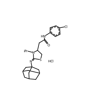 CC(C)N1C(=NC23CC4CC(CC(C4)C2)C3)SCC1CC(=O)Nc1ccc(Cl)cc1.Cl